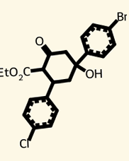 CCOC(=O)C1C(=O)CC(O)(c2ccc(Br)cc2)CC1c1ccc(Cl)cc1